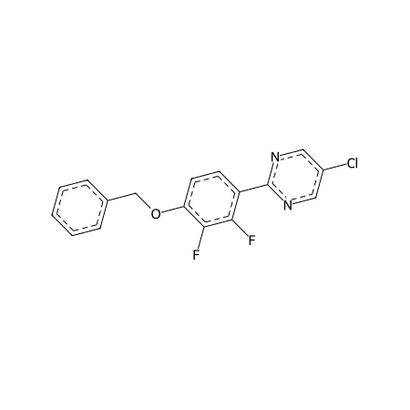 Fc1c(OCc2ccccc2)ccc(-c2ncc(Cl)cn2)c1F